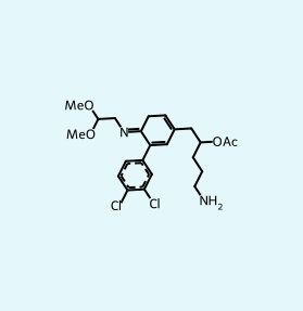 COC(CN=C1CC=C(CC(CCCN)OC(C)=O)C=C1c1ccc(Cl)c(Cl)c1)OC